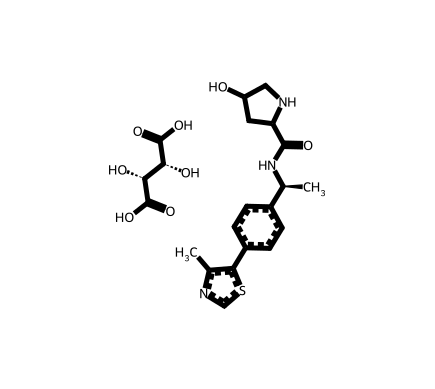 Cc1ncsc1-c1ccc([C@H](C)NC(=O)C2CC(O)CN2)cc1.O=C(O)[C@H](O)[C@@H](O)C(=O)O